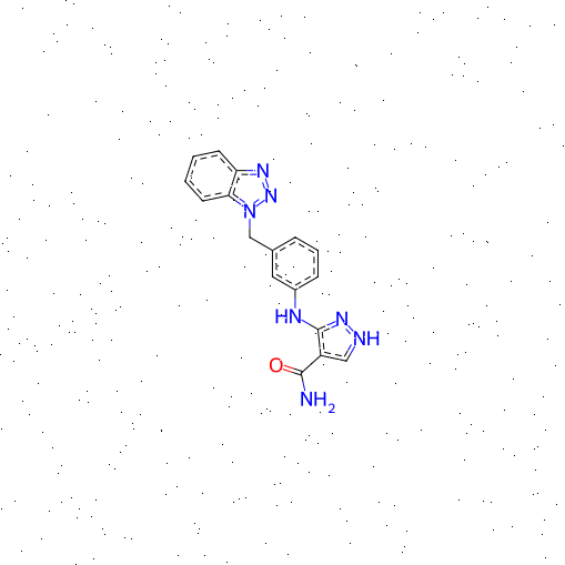 NC(=O)c1c[nH]nc1Nc1cccc(Cn2nnc3ccccc32)c1